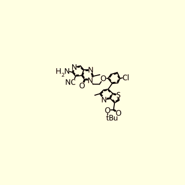 Cc1cc(-c2cc(Cl)ccc2OCCn2c(C)nc3cnc(N)c(C#N)c3c2=O)c2scc(C(=O)OC(C)(C)C)c2n1